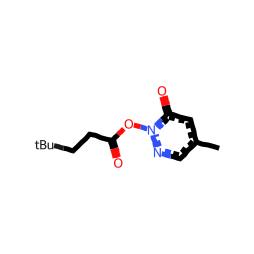 Cc1cnn(OC(=O)CCC(C)(C)C)c(=O)c1